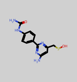 NC(=O)Nc1ccc(-c2nc(N)cc(CSO)n2)cc1